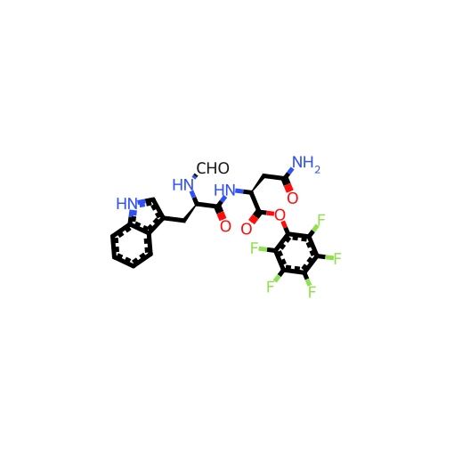 NC(=O)C[C@H](NC(=O)[C@@H](Cc1c[nH]c2ccccc12)NC=O)C(=O)Oc1c(F)c(F)c(F)c(F)c1F